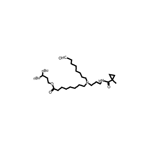 CCCCC(CCCC)CCOC(=O)CCCCCCCN(CCCCCCCC=O)CCCNC(=O)C1(C)CC1